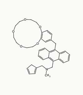 CN(CC1=CC=CC1)Cc1c2ccccc2c(Cc2ccc3c(c2)OCCOCCOCCOCCO3)c2ccccc12